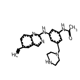 C#Cc1ccc2nc(Nc3cc(CN4CCNCC4)cc(NC(C)=O)c3)ncc2c1